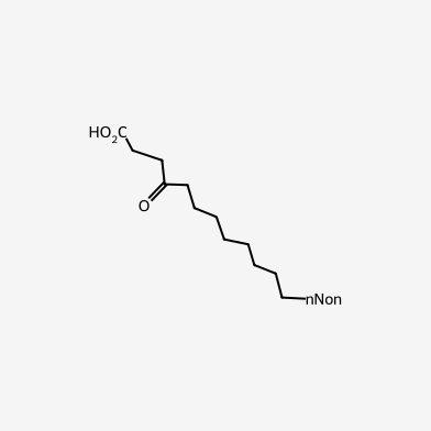 CCCCCCCCCCCCCCCCCC(=O)CCC(=O)O